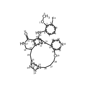 COc1c(F)cccc1Nc1c2[nH]c3c1C(=O)NCC3Cc1cn(nn1)CCCOc1cnccc1-2